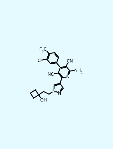 N#Cc1c(N)nc(-c2cnn(CCC3(O)CCC3)c2)c(C#N)c1-c1ccc(C(F)(F)F)c(Cl)c1